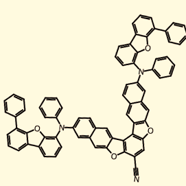 N#Cc1cc2oc3cc4cc(N(c5ccccc5)c5cccc6c5oc5c(-c7ccccc7)cccc56)ccc4cc3c2c2c1oc1cc3cc(N(c4ccccc4)c4cccc5c4oc4c(-c6ccccc6)cccc45)ccc3cc12